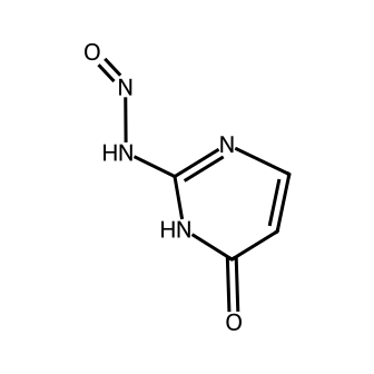 O=NNc1nccc(=O)[nH]1